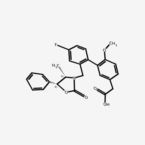 COc1ccc(CC(=O)O)cc1-c1ccc(F)cc1CN1C(=O)O[C@H](c2ccccc2)[C@@H]1C